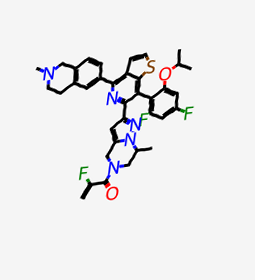 C=C(F)C(=O)N1Cc2cc(-c3nc(-c4ccc5c(c4)CCN(C)C5)c4ccsc4c3-c3c(F)cc(F)cc3OC(C)C)nn2C(C)C1